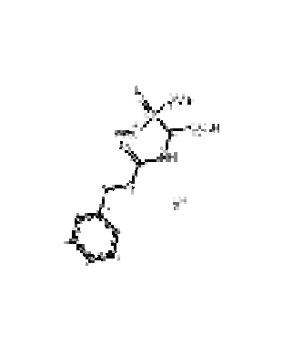 COP(=O)(OC)C(NC(=O)OCc1ccccc1)C(=O)O.[LiH]